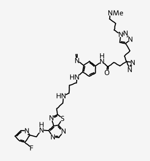 C=Nc1cc(NC(=O)CCC2(CCc3cn(CCCNC)nn3)N=N2)ccc1NCCCNCCc1nc2c(NCc3ncccc3F)ncnc2s1